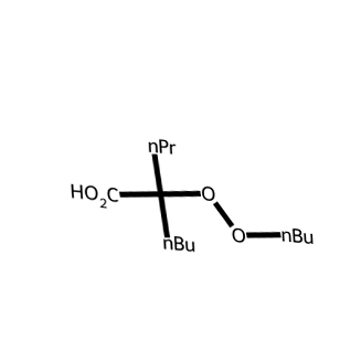 CCCCOOC(CCC)(CCCC)C(=O)O